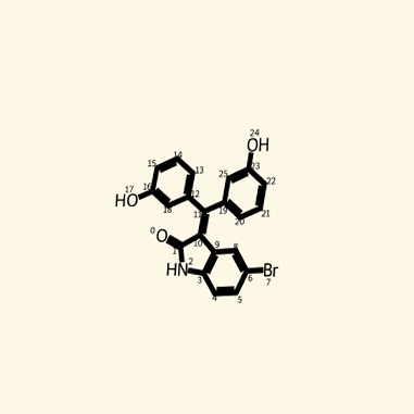 O=C1Nc2ccc(Br)cc2C1=C(c1cccc(O)c1)c1cccc(O)c1